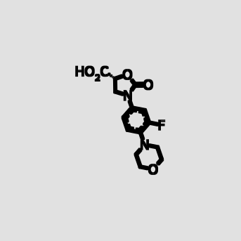 O=C(O)[C@H]1CN(c2ccc(N3CCOCC3)c(F)c2)C(=O)O1